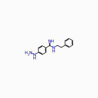 N=C(NCCc1ccccc1)c1ccc(NN)cc1